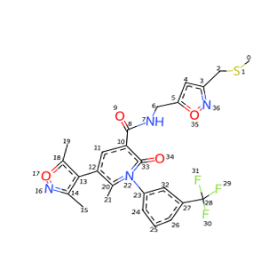 CSCc1cc(CNC(=O)c2cc(-c3c(C)noc3C)c(C)n(-c3cccc(C(F)(F)F)c3)c2=O)on1